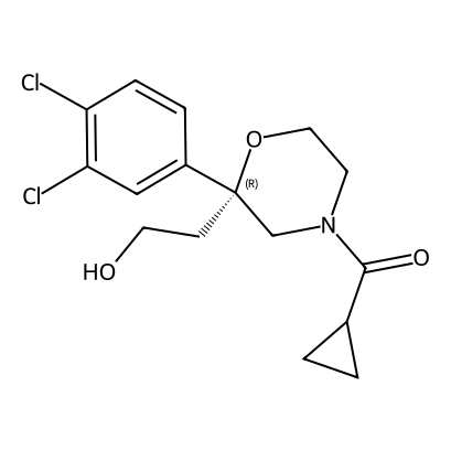 O=C(C1CC1)N1CCO[C@](CCO)(c2ccc(Cl)c(Cl)c2)C1